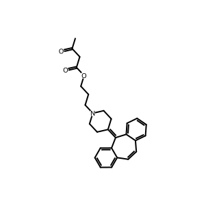 CC(=O)CC(=O)OCCCN1CCC(=C2c3ccccc3C=Cc3ccccc32)CC1